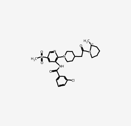 C[C@H]1CCCCN1C(=O)CC1CCN(c2ncc(S(C)(=O)=O)cc2NC(=O)c2cccc(Cl)c2)CC1